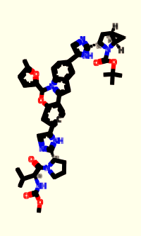 COC(=O)N[C@H](C(=O)N1CCC[C@H]1c1ncc(-c2ccc3c(c2)OC(c2ccc(C)o2)n2c-3cc3cc(-c4cnc([C@@H]5C[C@H]6C[C@H]6N5C(=O)OC(C)(C)C)[nH]4)ccc32)[nH]1)C(C)C